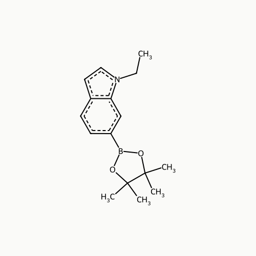 CCn1ccc2ccc(B3OC(C)(C)C(C)(C)O3)cc21